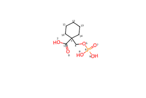 O=C(O)C1(COP(=O)(O)O)CCCCC1